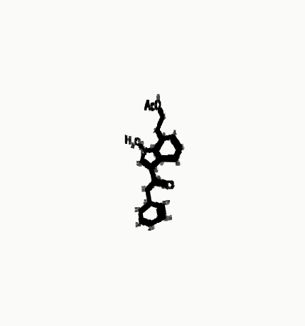 CC(=O)OCCc1cccc2c(C(=O)Cc3ccccc3)cn(C)c12